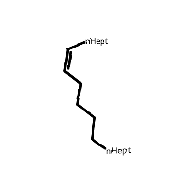 [CH2]CCCCCCCCCC/C=C\CCCCCCC